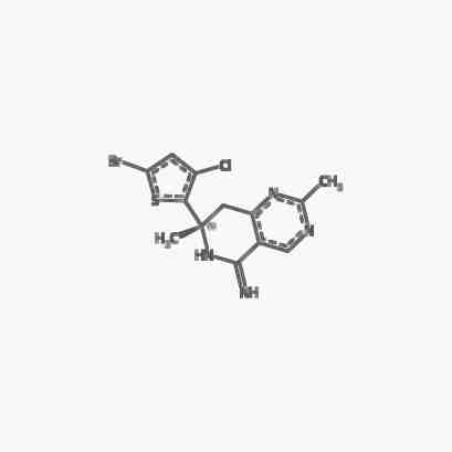 Cc1ncc2c(n1)C[C@@](C)(c1sc(Br)cc1Cl)NC2=N